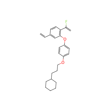 C=Cc1ccc(C(=C)F)c(Oc2ccc(OCCCC3CCCCC3)cc2)c1